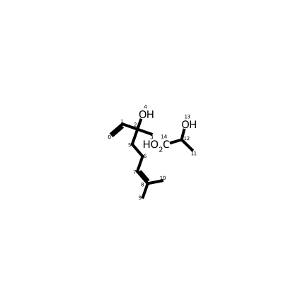 C=CC(C)(O)CCC=C(C)C.CC(O)C(=O)O